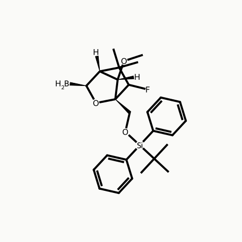 B[C@@H]1O[C@@]2(CO[Si](c3ccccc3)(c3ccccc3)C(C)(C)C)C(F)C(C)(C)[C@@H]1[C@@H]2OC